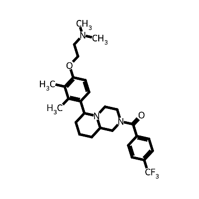 Cc1c(OCCN(C)C)ccc(C2CCCC3CN(C(=O)c4ccc(C(F)(F)F)cc4)CCN32)c1C